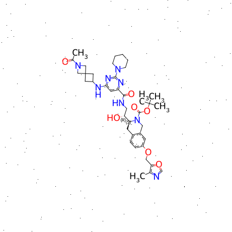 CC(=O)N1CC2(CC(Nc3cc(C(=O)NC[C@@H](O)[C@@H]4Cc5ccc(OCc6ocnc6C)cc5CN4C(=O)OC(C)(C)C)nc(N4CCCCC4)n3)C2)C1